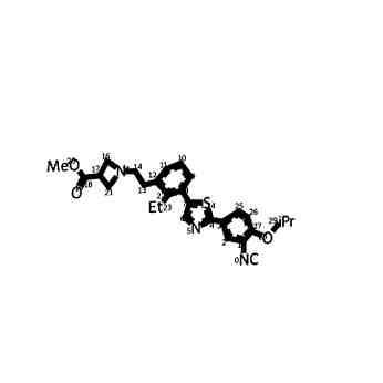 [C-]#[N+]c1cc(-c2ncc(-c3cccc(CCN4CC(C(=O)OC)C4)c3CC)s2)ccc1OC(C)C